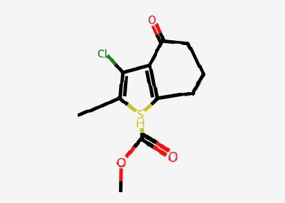 COC(=O)[SH]1C(C)=C(Cl)C2=C1CCCC2=O